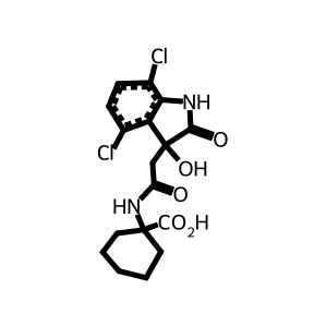 O=C(CC1(O)C(=O)Nc2c(Cl)ccc(Cl)c21)NC1(C(=O)O)CCCCC1